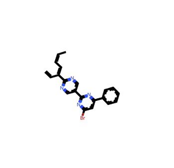 C=C/C(=C\C=C/C)c1ncc(-c2nc(Br)cc(-c3ccccc3)n2)cn1